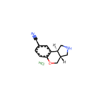 Cl.N#Cc1ccc2c(c1)[C@H]1CNC[C@@H]1CO2